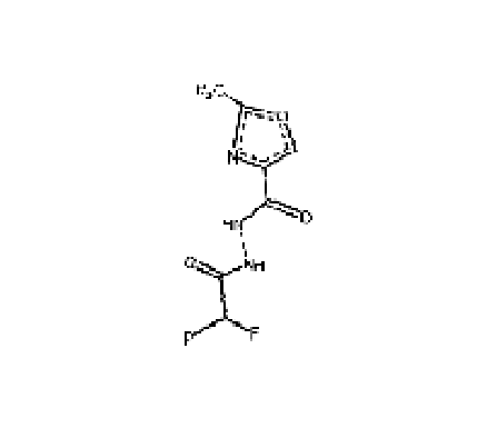 Cc1nc(C(=O)NNC(=O)C(F)F)co1